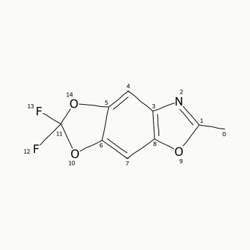 Cc1nc2cc3c(cc2o1)OC(F)(F)O3